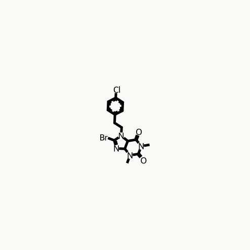 CN1C(=O)C2C(N=C(Br)N2CCc2ccc(Cl)cc2)N(C)C1=O